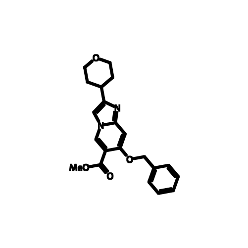 COC(=O)c1cn2cc(C3CCOCC3)nc2cc1OCc1ccccc1